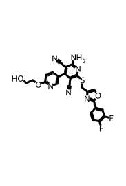 N#Cc1c(N)nc(SCc2coc(-c3ccc(F)c(F)c3)n2)c(C#N)c1-c1ccc(OCCO)nc1